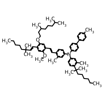 CCCCCCC(C)(C)c1ccc(N(c2ccc(-c3ccc(C)cc3)cc2)c2ccc(C=Cc3cc(OCCC(C)CCCC(C)C)c(C=CC(C)(C)CCCCC)cc3OC)c(C)c2)cc1C